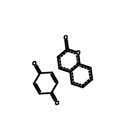 O=C1C=CC(=O)C=C1.O=c1ccc2ccccc2o1